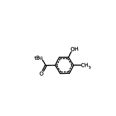 Cc1ccc(C(=O)C(C)(C)C)cc1O